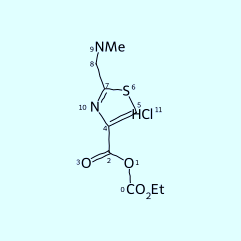 CCOC(=O)OC(=O)c1csc(CNC)n1.Cl